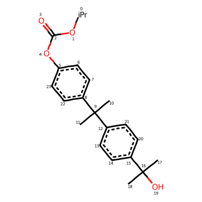 CC(C)OC(=O)Oc1ccc(C(C)(C)c2ccc(C(C)(C)O)cc2)cc1